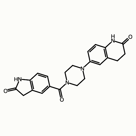 O=C1CCc2cc(N3CCN(C(=O)c4ccc5c(c4)CC(=O)N5)CC3)ccc2N1